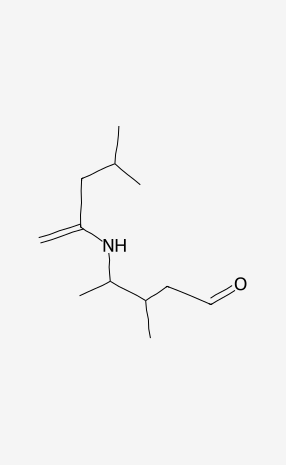 C=C(CC(C)C)NC(C)C(C)CC=O